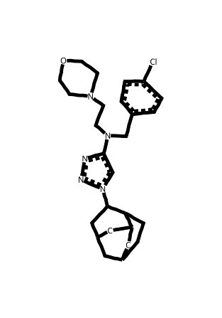 Clc1ccc(CN(CCN2CCOCC2)c2cn(C3CC4CC5CCC3C(C5)C4)nn2)cc1